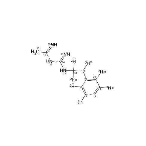 [2H]c1cc([2H])c([2H])c(C([2H])C([2H])([2H])NC(=N)NC(C)=N)c1[2H]